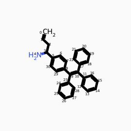 C=CCC(N)c1ccc(C(=C(c2ccccc2)c2ccccc2)c2ccccc2)cc1